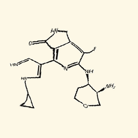 N=C/C(=C\NC1CC1)c1nc(N[C@@H]2CCOC[C@@H]2N)c(F)c2c1C(=O)NC2